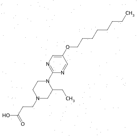 CCCCCCCCOc1cnc(N2CCN(CCC(=O)O)CC2CC)nc1